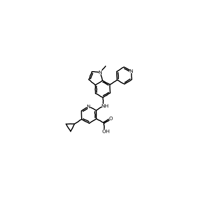 Cn1ccc2cc(Nc3ncc(C4CC4)cc3C(=O)O)cc(-c3ccncc3)c21